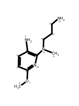 COc1ccc(N)c(N(C)CCCN)n1